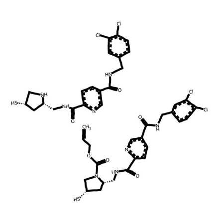 C=CCOC(=O)N1C[C@@H](S)C[C@H]1CNC(=O)c1ccc(C(=O)NCc2ccc(Cl)c(Cl)c2)cn1.O=C(NCc1ccc(Cl)c(Cl)c1)c1ccc(C(=O)NC[C@@H]2C[C@H](S)CN2)nc1